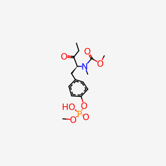 CCC(=O)[C@H](Cc1ccc(OP(=O)(O)OC)cc1)N(C)C(=O)OC